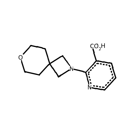 O=C(O)c1cccnc1N1CC2(CCOCC2)C1